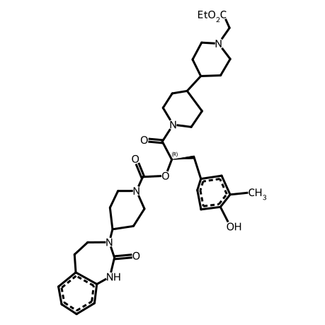 CCOC(=O)CN1CCC(C2CCN(C(=O)[C@@H](Cc3ccc(O)c(C)c3)OC(=O)N3CCC(N4CCc5ccccc5NC4=O)CC3)CC2)CC1